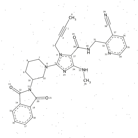 CC#CCn1c(N2CCCC(N3C(=O)c4ccccc4C3=O)C2)nc(NC)c1C(=O)NCc1ncccc1C#N